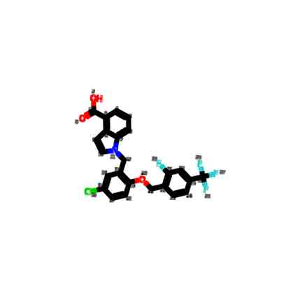 O=C(O)c1cccc2c1ccn2Cc1cc(Cl)ccc1OCc1ccc(C(F)(F)F)cc1F